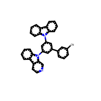 N#Cc1cccc(-c2cc(-n3c4ccccc4c4ccccc43)cc(-n3c4ccccc4c4ccncc43)c2)c1